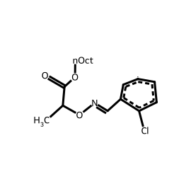 CCCCCCCCOC(=O)C(C)ON=Cc1c[c]ccc1Cl